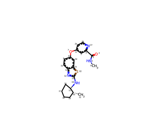 CNC(=O)c1cc(Oc2ccc3nc(N[C@@H]4CCCC[C@H]4C)sc3c2)ccn1